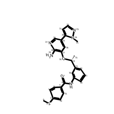 CSc1ccc(C(=O)Nc2cccc([C@@H](C)Oc3cc(-c4ccnn4C)cnc3N)c2)cc1